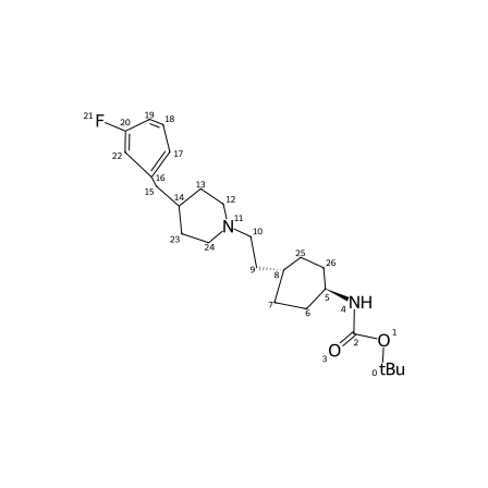 CC(C)(C)OC(=O)N[C@H]1CC[C@H](CCN2CCC(Cc3cccc(F)c3)CC2)CC1